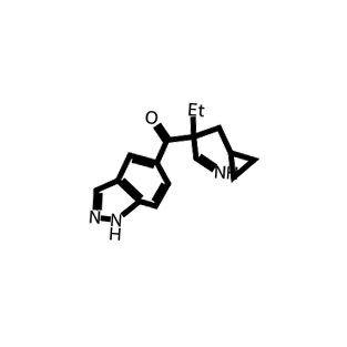 CCC(C=N)(CC1CC1)C(=O)c1ccc2[nH]ncc2c1